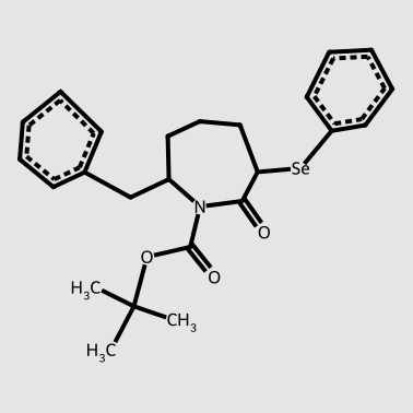 CC(C)(C)OC(=O)N1C(=O)C([Se]c2ccccc2)CCCC1Cc1ccccc1